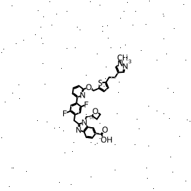 Cn1cc(CCc2ccc(COc3cccc(-c4cc(F)c(Cc5nc6ccc(C(=O)O)cc6n5C[C@@H]5CCO5)cc4F)n3)s2)cn1